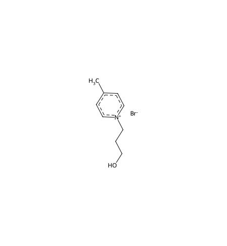 Cc1cc[n+](CCCO)cc1.[Br-]